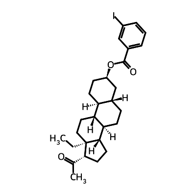 CC[C@]12CC[C@H]3[C@@H](CC[C@H]4C[C@H](OC(=O)c5cccc(I)c5)CC[C@@H]43)[C@@H]1CC[C@@H]2C(C)=O